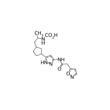 CC(CC1CCC(c2cc(NC(=O)Cc3ccno3)n[nH]2)C1)NC(=O)O